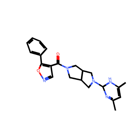 CC1=CC(C)=NC(N2CC3CN(C(=O)c4cnoc4-c4ccccc4)CC3C2)N1